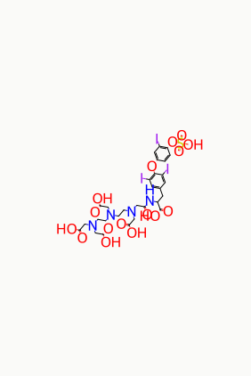 O=C(O)CN(CCN(CC(=O)O)CC(=O)O)CCN(CC(=O)O)CC(=O)NC(Cc1cc(I)c(Oc2ccc(OS(=O)(=O)O)c(I)c2)c(I)c1)C(=O)O